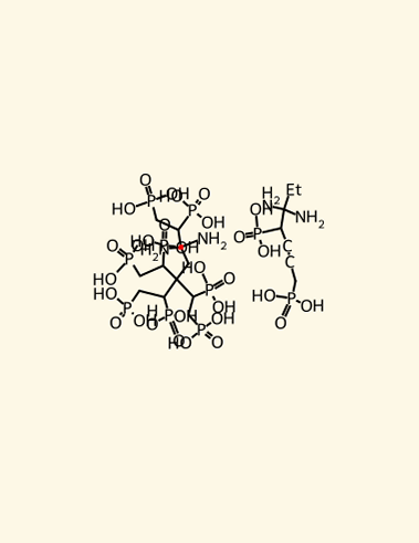 CCC(N)(N)C(CCCP(=O)(O)O)P(=O)(O)O.NC(N)(CC(C(CP(=O)(O)O)P(=O)(O)O)(C(CP(=O)(O)O)P(=O)(O)O)C(CP(=O)(O)O)P(=O)(O)O)C(CP(=O)(O)O)P(=O)(O)O